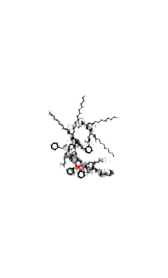 CCCCCCCCCCN(CC(N)=O)C(=O)CN(CCCCCCCCCC)C(=O)CN(CCCCCCCCCC)C(=O)CN(CCCCCCCCCC)C(=O)CN(CCc1ccccc1)C(=O)CN(CCc1ccccc1)C(=O)CN(CCN)C(=O)CN(CCc1ccccc1)C(=O)CN(CCc1ccccc1)C(=O)CN(CCN)C(=O)CNC(C)(C)COC(C)(C)C